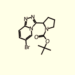 CC(C)(C)OC(=O)N1CCCC1c1nnc2ccc(Br)cn12